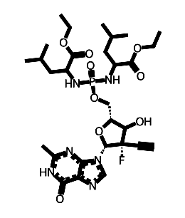 C#C[C@]1(F)C(O)[C@@H](COP(=O)(NC(CC(C)C)C(=O)OCC)NC(CC(C)C)C(=O)OCC)O[C@H]1n1cnc2c(=O)[nH]c(C)nc21